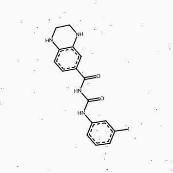 O=C(NC(=O)c1ccc2c(c1)NCCN2)Nc1cccc(I)c1